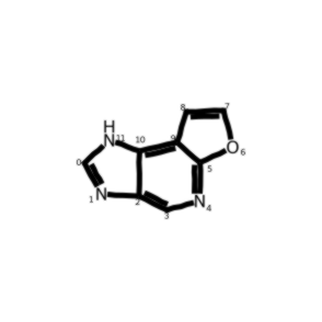 c1nc2cnc3occc3c2[nH]1